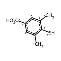 Cc1cc(C(=O)O)cc(C)c1S